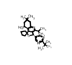 CC(C)c1nc2c(c3c1[C@H](c1cnc(C(C)(C)C)nc1)OC31CCCC1)[C@@H](O)CC(C)(C)C2